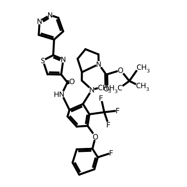 CN(CC1CCCN1C(=O)OC(C)(C)C)c1c(NC(=O)c2csc(-c3ccnnc3)n2)ccc(Oc2ccccc2F)c1C(F)(F)F